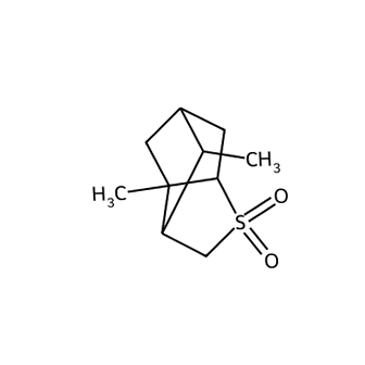 CC1C2CC3C(C)(C2)C1CS3(=O)=O